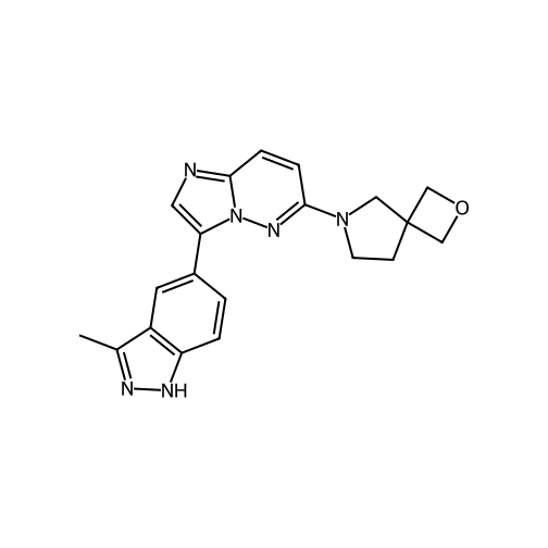 Cc1n[nH]c2ccc(-c3cnc4ccc(N5CCC6(COC6)C5)nn34)cc12